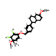 CCCCOC1CCC2CC(c3ccc(COC4=C(F)C(F)C(C)(OCC)C=C4)cc3)CCC2C1